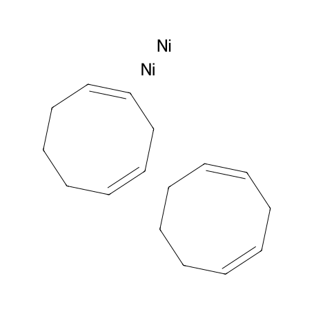 C1=CCCCC=CC1.C1=CCCCC=CC1.[Ni].[Ni]